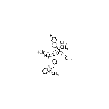 CCOCC(=O)O[C@]1(CCN(C)Cc2ccc(Cc3nc4ccccc4n3C)cc2)CCc2cc(F)ccc2[C@@H]1C(C)C.Cl.Cl